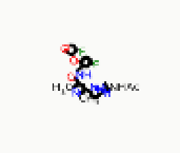 CC(=O)Nc1cn2nc(-c3cc(C(=O)NCc4cc(F)cc(F)c4OC4CCCOC4)c(C)nc3C)ccc2n1